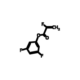 C=C(F)C(=O)Oc1cc(F)cc(F)c1